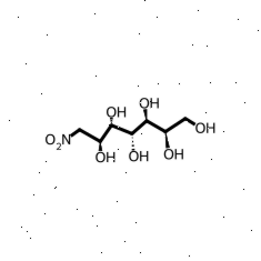 O=[N+]([O-])C[C@H](O)[C@H](O)[C@@H](O)[C@@H](O)[C@H](O)CO